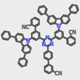 N#Cc1cccc(-c2ccc(-c3nc(-c4cc(-c5ccccc5C#N)cc(-n5c6ccc(-c7ccccc7)cc6c6cc(-c7ccccc7)ccc65)c4)nc(-c4cc(-c5ccccc5C#N)cc(-n5c6ccc(-c7ccccc7)cc6c6cc(-c7ccccc7)ccc65)c4)n3)cc2)c1